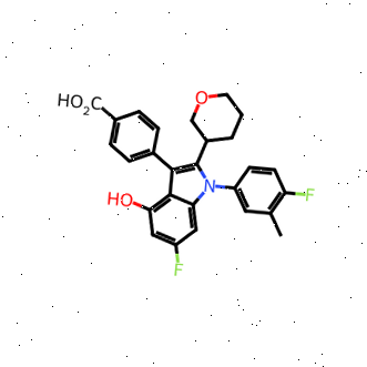 Cc1cc(-n2c(C3CCCOC3)c(-c3ccc(C(=O)O)cc3)c3c(O)cc(F)cc32)ccc1F